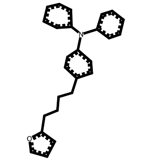 c1ccc(N(c2ccccc2)c2ccc(CCCCc3ccco3)cc2)cc1